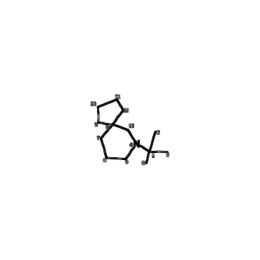 CC(C)(C)N1CCCC2(CCCC2)C1